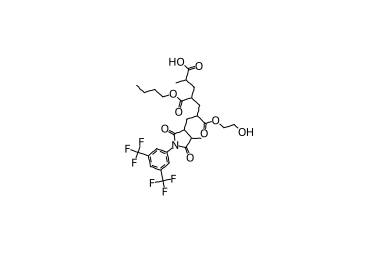 CCCCOC(=O)C(CC(C)C(=O)O)CC(CC1C(=O)N(c2cc(C(F)(F)F)cc(C(F)(F)F)c2)C(=O)C1C)C(=O)OCCO